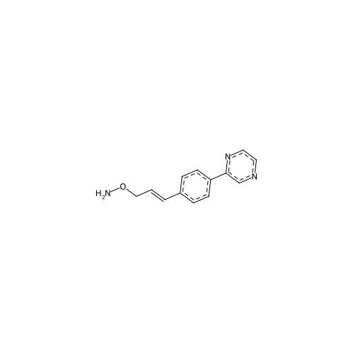 NOCC=Cc1ccc(-c2cnccn2)cc1